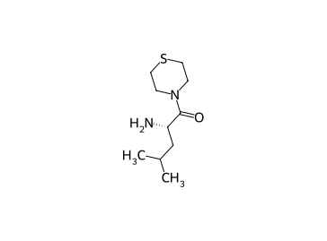 CC(C)C[C@H](N)C(=O)N1CCSCC1